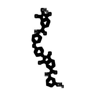 Cc1cccc(NC(=O)c2ccc3c(c2)C(=O)N(c2ccc(Oc4ccc(NC(=O)c5ccc6c(c5)C(=O)N(C)C6=O)cc4)cc2)C3=O)c1